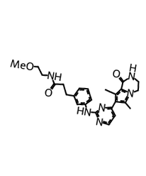 COCCNC(=O)CCc1cccc(Nc2nccc(-c3c(C)c4n(c3C)CCNC4=O)n2)c1